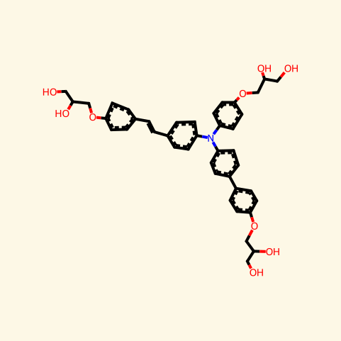 OCC(O)COc1ccc(C=Cc2ccc(N(c3ccc(OCC(O)CO)cc3)c3ccc(-c4ccc(OCC(O)CO)cc4)cc3)cc2)cc1